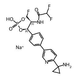 NC1(c2ccc(-c3ccc([C@@H](OP(=O)([O-])O)[C@@H](CF)NC(=O)C(F)F)cc3)cn2)CC1.[Na+]